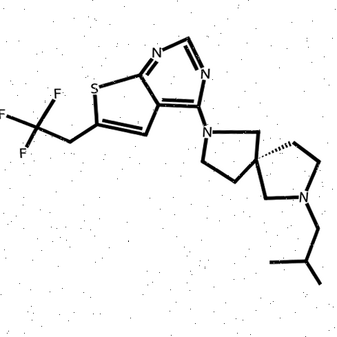 CC(C)CN1CC[C@@]2(CCN(c3ncnc4sc(CC(F)(F)F)cc34)C2)C1